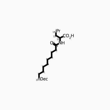 CCCCCCCCCCCCCCCCCCC(=O)NC(CC(C)C)C(=O)O